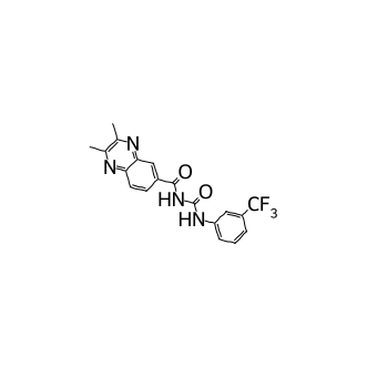 Cc1nc2ccc(C(=O)NC(=O)Nc3cccc(C(F)(F)F)c3)cc2nc1C